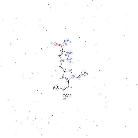 C=Cn1cc(CN2C=C(C(N)=O)NN2)nc1CC(C)OC